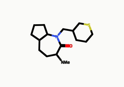 CNC1CCC2CCCC2N(CC2CCCSC2)C1=O